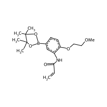 C=CC(=O)Nc1cc(B2OC(C)(C)C(C)(C)O2)ccc1OCCOC